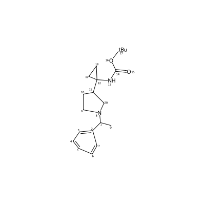 CC(c1ccccc1)N1CCC(C2(NC(=O)OC(C)(C)C)CC2)C1